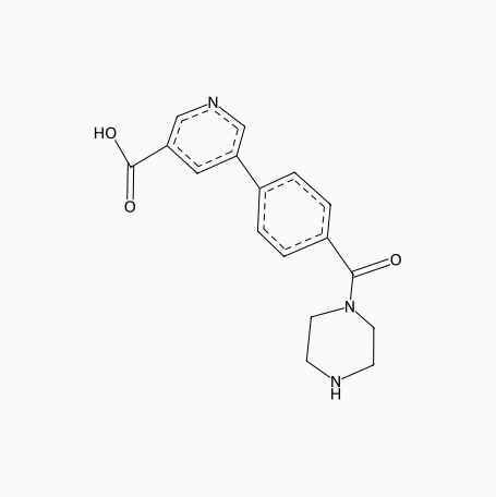 O=C(O)c1cncc(-c2ccc(C(=O)N3CCNCC3)cc2)c1